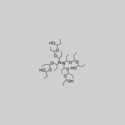 CCC(O)OC(CC)OC(CC)N(C(CC)OC(CC)OC(O)CC)N(C(CC)OC(CC)OC(O)CC)C(CC)OC(CC)OC(O)CC